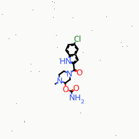 CN1CCN(C(=O)c2cc3cc(Cl)ccc3[nH]2)CC1OC(N)=O